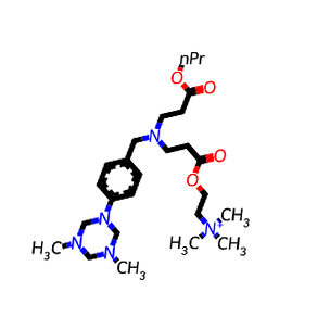 CCCOC(=O)CCN(CCC(=O)OCC[N+](C)(C)C)Cc1ccc(N2CN(C)CN(C)C2)cc1